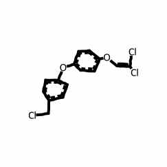 ClCc1ccc(Oc2ccc(OC=C(Cl)Cl)cc2)cc1